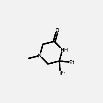 CCC1(C(C)C)CN(C)CC(=O)N1